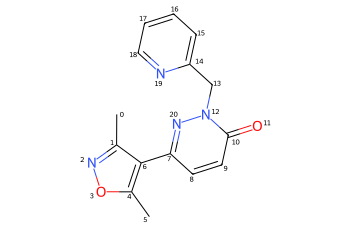 Cc1noc(C)c1-c1ccc(=O)n(Cc2ccccn2)n1